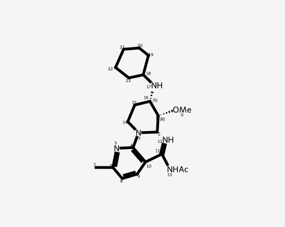 CO[C@@H]1CN(c2nc(C)ccc2C(=N)NC(C)=O)CC[C@@H]1NC1CCCCC1